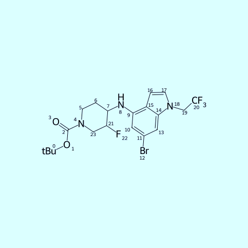 CC(C)(C)OC(=O)N1CCC(Nc2cc(Br)cc3c2ccn3CC(F)(F)F)C(F)C1